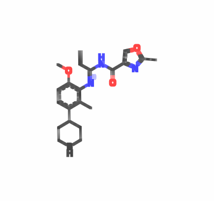 C=C/C(=N\c1c(OC)ccc(C2CCBCC2)c1C)NC(=O)c1coc(C)n1